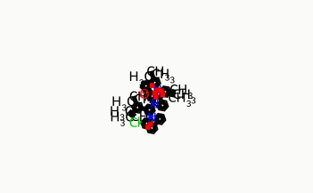 CC(C)(C)c1ccc(N(c2ccc(C(C)(C)C)cc2)c2cc(N(c3cc(-c4cc(C(C)(C)C)cc(C(C)(C)C)c4)cc(N(c4cccc(Cl)c4)c4ccccc4-c4ccccc4)c3)c3ccccc3-c3ccccc3)cc3oc4ccccc4c23)cc1